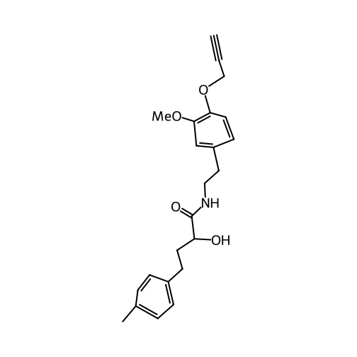 C#CCOc1ccc(CCNC(=O)C(O)CCc2ccc(C)cc2)cc1OC